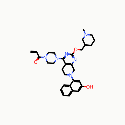 C=CC(=O)N1CCN(c2nc(OCC3CCCN(C)C3)nc3c2CCN(c2cc(O)cc4ccccc24)C3)CC1